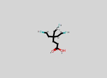 O=C(O)CCC(CCF)(CCF)CCF